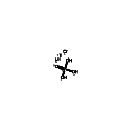 O=P(O)(O)O.[Cr].[LiH].[Ti]